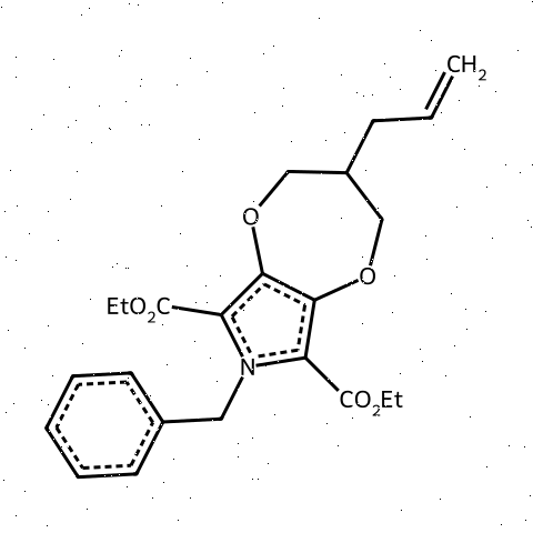 C=CCC1COc2c(c(C(=O)OCC)n(Cc3ccccc3)c2C(=O)OCC)OC1